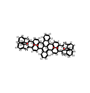 c1ccc2sc(-c3ccc(-c4c5ccccc5c(-c5ccc(-c6nc7ccccc7s6)cc5)c5c(-c6ccc(-c7nc8ccccc8s7)cc6)c6ccccc6c(-c6ccc(-c7nc8ccccc8s7)cc6)c45)cc3)nc2c1